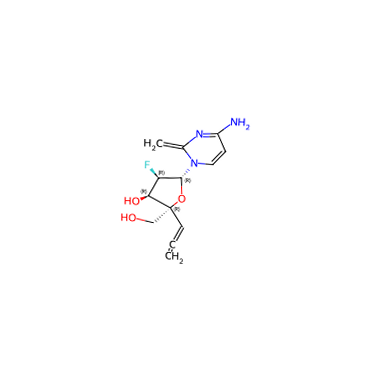 C=C=C[C@]1(CO)O[C@@H](N2C=CC(N)=NC2=C)[C@H](F)[C@@H]1O